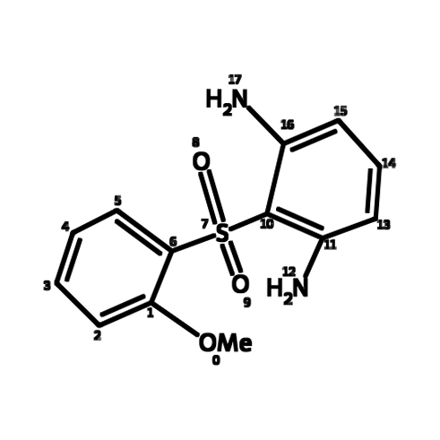 COc1ccccc1S(=O)(=O)c1c(N)cccc1N